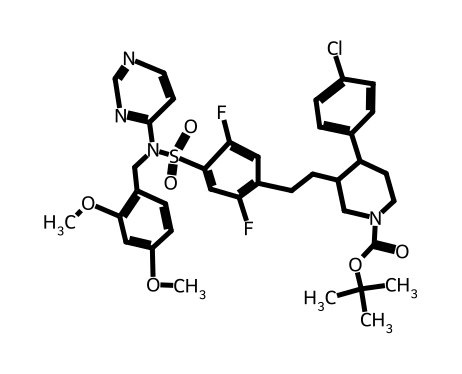 COc1ccc(CN(c2ccncn2)S(=O)(=O)c2cc(F)c(CCC3CN(C(=O)OC(C)(C)C)CCC3c3ccc(Cl)cc3)cc2F)c(OC)c1